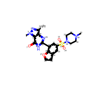 CCCc1nn(C)c2c(=O)[nH]c(-c3cc(S(=O)(=O)N4CCN(C)CC4)cc4ccoc34)nc12